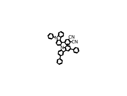 N#Cc1ccc(-c2c(-n3c4ccc(-c5ccccc5)cc4c4cc(-c5ccccc5)ccc43)ccc3c2c2ccccc2n3-c2ccccc2)cc1C#N